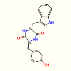 O=C1N[C@H](Cc2c[nH]c3ccccc23)C(=O)N[C@H]1Cc1ccc(O)cc1